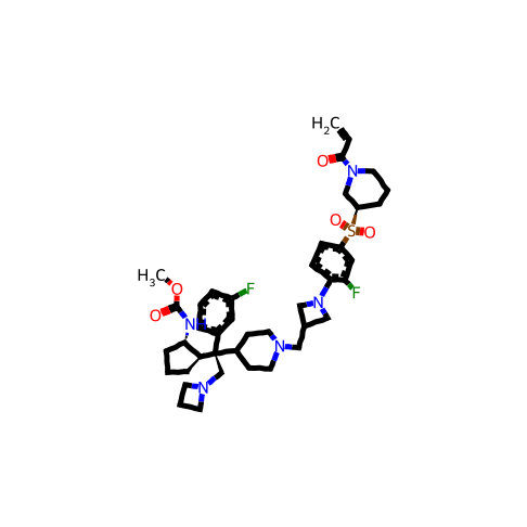 C=CC(=O)N1CCC[C@@H](S(=O)(=O)c2ccc(N3CC(CN4CCC([C@@](CN5CCC5)(c5cccc(F)c5)[C@H]5CCC[C@@H]5NC(=O)OC)CC4)C3)c(F)c2)C1